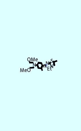 CC[n+]1cc(C)sc1/N=N/c1ccc(N(CCOC)CCOC)cc1C